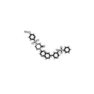 COc1ccc(S(=O)(=O)N2CCN(c3cnc4ccc(-c5cncc(NS(=O)(=O)c6ccccc6)c5)cc4n3)C(=O)C2)cc1